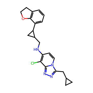 Clc1c(NCC2CC2c2cccc3c2OCC3)ccn2c(CC3CC3)nnc12